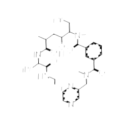 CC(C)CNC(=O)C(NC(=O)C(C)CC(O)C(CC(C)C)NC(=O)c1cccc(C(=O)N(C)Cc2cnccn2)c1)C(C)C